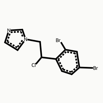 ClC(Cn1ccnc1)c1ccc(Br)cc1Br